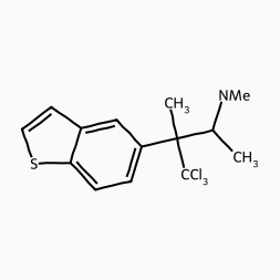 CNC(C)C(C)(c1ccc2sccc2c1)C(Cl)(Cl)Cl